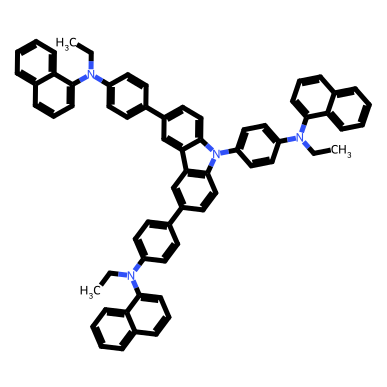 CCN(c1ccc(-c2ccc3c(c2)c2cc(-c4ccc(N(CC)c5cccc6ccccc56)cc4)ccc2n3-c2ccc(N(CC)c3cccc4ccccc34)cc2)cc1)c1cccc2ccccc12